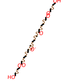 O=C(CSCCSCC[S+]([O-])CSCCSCSC(=O)CSCCSCCOOCCSCCO)OCCSCCO